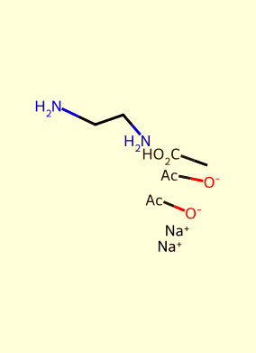 CC(=O)O.CC(=O)[O-].CC(=O)[O-].NCCN.[Na+].[Na+]